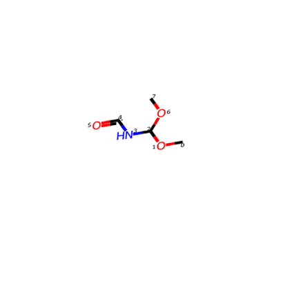 COC(N[C]=O)OC